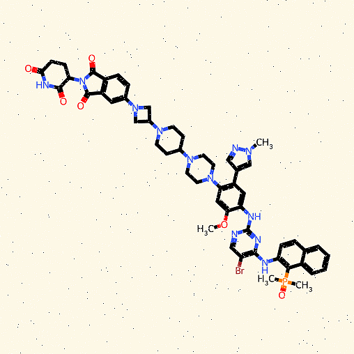 COc1cc(N2CCN(C3CCN(C4CN(c5ccc6c(c5)C(=O)N(C5CCC(=O)NC5=O)C6=O)C4)CC3)CC2)c(-c2cnn(C)c2)cc1Nc1ncc(Br)c(Nc2ccc3ccccc3c2P(C)(C)=O)n1